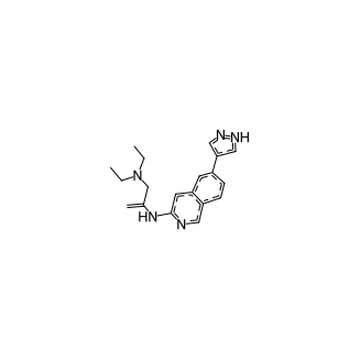 C=C(CN(CC)CC)Nc1cc2cc(-c3cn[nH]c3)ccc2cn1